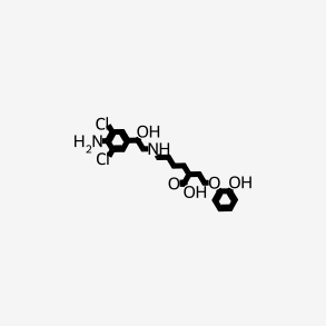 Nc1c(Cl)cc(C(O)CNCCCCC(CCOc2ccccc2O)C(=O)O)cc1Cl